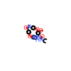 CCC(CC)NC(=O)Nc1ccc(Oc2ccc(N(C)C(=O)c3ccc(OC4CC5CCC(C4)N5C)cc3)cc2)c(OC)c1